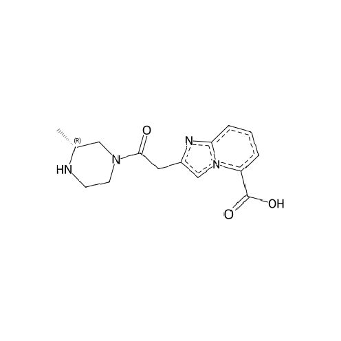 C[C@@H]1CN(C(=O)Cc2cn3c(C(=O)O)cccc3n2)CCN1